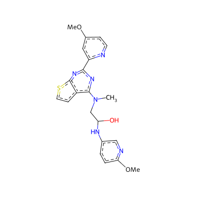 COc1ccnc(-c2nc(N(C)CC(O)Nc3ccc(OC)nc3)c3ccsc3n2)c1